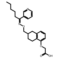 CCCCCC(=NOCC1CCc2c(cccc2OCC(=O)O)C1)c1cccnc1